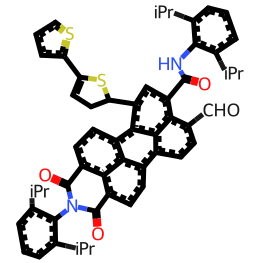 CC(C)c1cccc(C(C)C)c1NC(=O)c1cc(C2CC=C(c3cccs3)S2)c2c3ccc4c5c(ccc(c6ccc(C=O)c1c62)c53)C(=O)N(c1c(C(C)C)cccc1C(C)C)C4=O